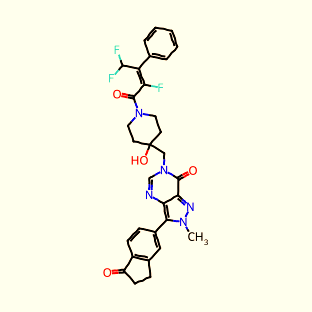 Cn1nc2c(=O)n(CC3(O)CCN(C(=O)C(F)=C(c4ccccc4)C(F)F)CC3)cnc2c1-c1ccc2c(c1)CCC2=O